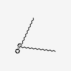 CCCCCCCCCCCCCCCCCCCC1N(CCCCCCCCCCCCCCCC)C=CN1c1ccccc1